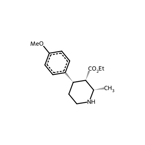 CCOC(=O)[C@@H]1[C@H](C)NCC[C@@H]1c1ccc(OC)cc1